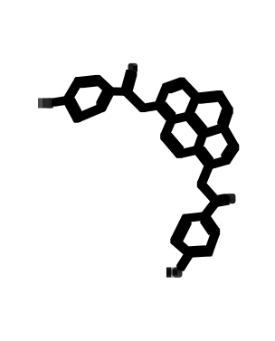 O=C(Cc1ccc2ccc3ccc(CC(=O)c4ccc(O)cc4)c4ccc1c2c34)c1ccc(O)cc1